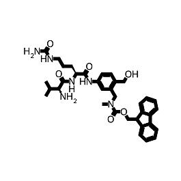 CC(C)[C@H](N)C(=O)N[C@@H](CCCNC(N)=O)C(=O)Nc1ccc(CO)c(CN(C)C(=O)OCC2c3ccccc3-c3ccccc32)c1